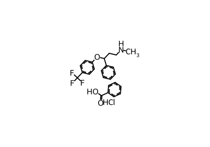 CNCCC(Oc1ccc(C(F)(F)F)cc1)c1ccccc1.Cl.O=C(O)c1ccccc1